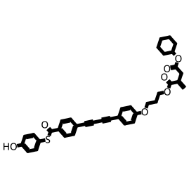 C=C(CC(=O)OC1CCCCC1)C(=O)OCCCOc1ccc(C#CC#Cc2ccc(C(=O)Sc3ccc(O)cc3)cc2)cc1